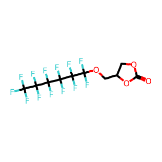 O=C1OCC(COC(F)(F)C(F)(F)C(F)(F)C(F)(F)C(F)(F)C(F)(F)F)O1